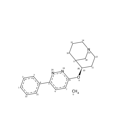 C.c1ccc(-c2ccc(O[C@@H]3CCN4CCCC3C4)nn2)cc1